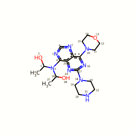 CC(O)N(c1ncnc2c(N3CCOCC3)nc(N3CCNCC3)nc12)C(C)O